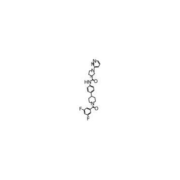 O=C(Nc1ccc(C2CCN(C(=O)c3cc(F)cc(F)c3)CC2)cc1)[C@H]1CCN(c2cccnn2)C1